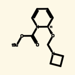 CC(C)(C)OC(=O)N1C=CC=C[C@H]1OCN1CCC1